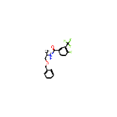 CC(COCc1ccccc1)NC(=O)c1ccc(F)c(C(F)(F)F)c1